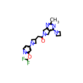 Cc1nc2c(c(N3CCC3)n1)CN(C(=O)CC1CN(c3ccnc(OC(F)F)c3)C1)C2